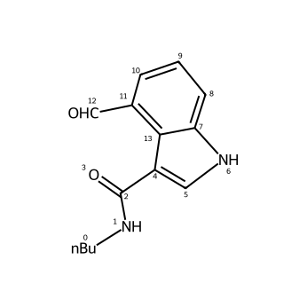 CCCCNC(=O)c1c[nH]c2cccc(C=O)c12